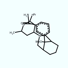 CCCC1CC(N2CC3CCCC(C2)C3(OC)c2cccc(C(N)=O)c2)CC(C)O1